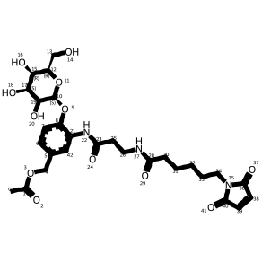 CC(=O)OCc1ccc(O[C@@H]2O[C@H](CO)[C@H](O)[C@H](O)C2O)c(NC(=O)CCNC(=O)CCCCCN2C(=O)C=CC2=O)c1